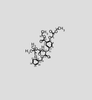 CCOC(=O)COc1ccc(C[C@H](NC(=O)OC(C)(C)C)C(=O)OCc2ccccc2)cc1C(=O)OCC